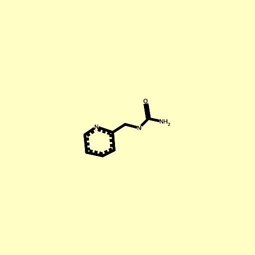 NC(=O)[N]Cc1ccccn1